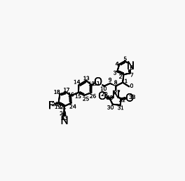 CC(c1cccnc1)[C@H](CCOc1ccc(-c2ccc(F)c(C#N)c2)cc1)N1C(=O)CCC1=O